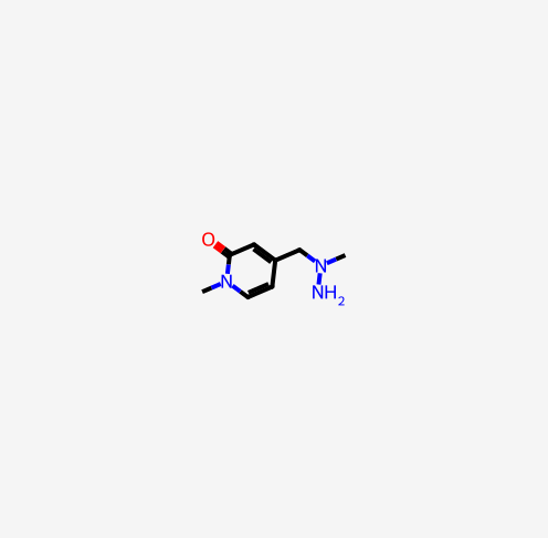 CN(N)Cc1ccn(C)c(=O)c1